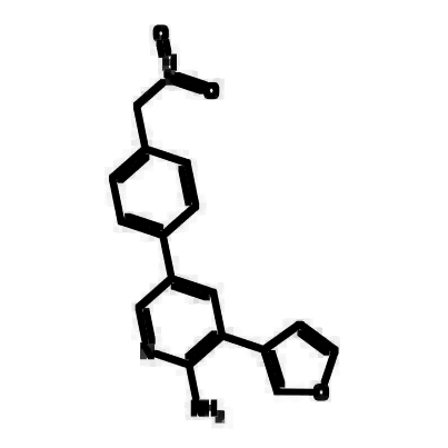 Nc1ncc(-c2ccc(C[SH](=O)=O)cc2)cc1-c1ccoc1